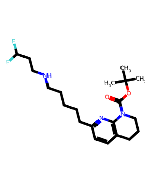 CC(C)(C)OC(=O)N1CCCc2ccc(CCCCCNCCC(F)F)nc21